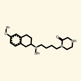 CCCN(CCCCN1CCNCC1=O)C1CCc2cc(OC(C)C)ccc2C1